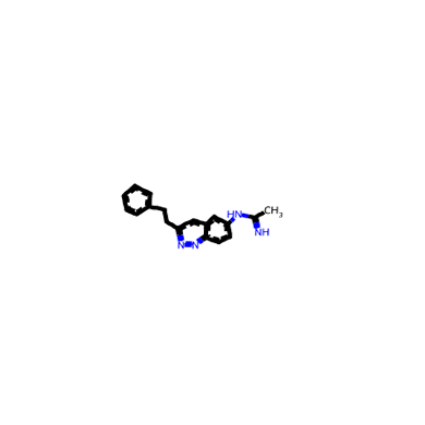 CC(=N)Nc1ccc2nnc(CCc3ccccc3)cc2c1